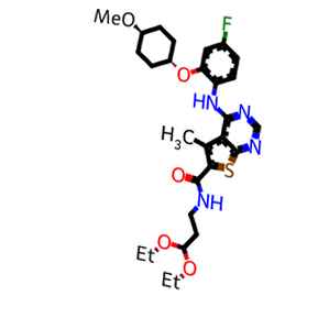 CCOC(CCNC(=O)c1sc2ncnc(Nc3ccc(F)cc3O[C@H]3CC[C@H](OC)CC3)c2c1C)OCC